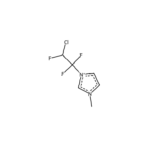 Cn1cc[n+](C(F)(F)C(F)Cl)c1